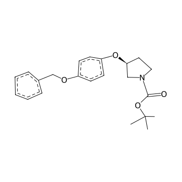 CC(C)(C)OC(=O)N1CC[C@H](Oc2ccc(OCc3ccccc3)cc2)C1